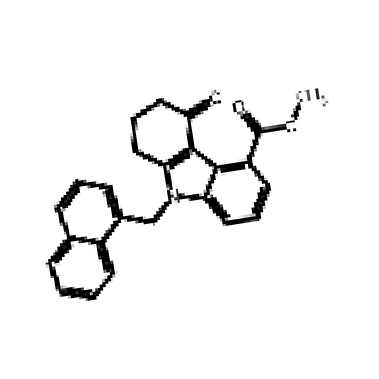 COC(=O)c1cccc2c1c1c(n2Cc2cccc3ccccc23)CCCC1=O